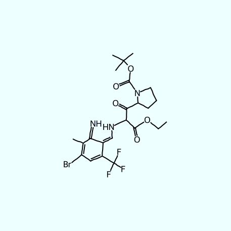 CCOC(=O)C(N/C=C1\C(=N)C(C)=C(Br)C=C1C(F)(F)F)C(=O)C1CCCN1C(=O)OC(C)(C)C